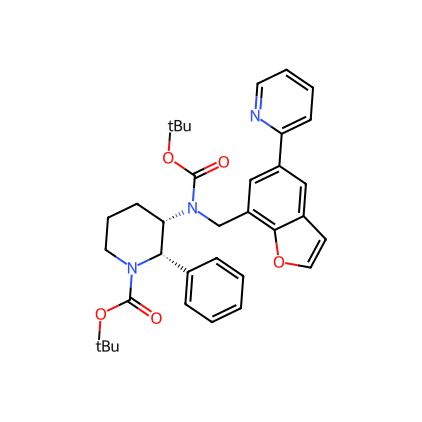 CC(C)(C)OC(=O)N(Cc1cc(-c2ccccn2)cc2ccoc12)[C@H]1CCCN(C(=O)OC(C)(C)C)[C@H]1c1ccccc1